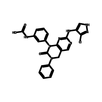 O=C(O)Nc1cccc(N2C(=O)N(c3ccccc3)Cc3cnc(Nc4c[nH]nc4Cl)nc32)c1